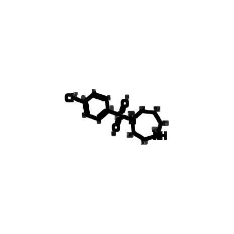 O=S(=O)(c1ccc(Cl)cc1)N1CCCNCC1